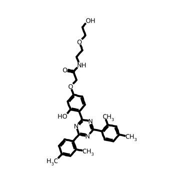 Cc1ccc(-c2nc(-c3ccc(C)cc3C)nc(-c3ccc(OCC(=O)NCCOCCO)cc3O)n2)c(C)c1